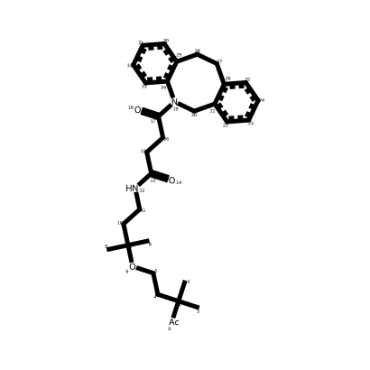 CC(=O)C(C)(C)CCOC(C)(C)CCNC(=O)CCC(=O)N1Cc2ccccc2CCc2ccccc21